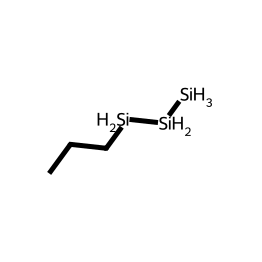 CCC[SiH2][SiH2][SiH3]